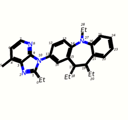 CCc1nc2c(C)ccnc2n1-c1ccc2c(c1)C(CC)C(CC)c1ccccc1N2CC